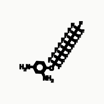 Nc1ccc(OC(F)(F)C(F)(F)C(F)(F)C(F)(F)C(F)(F)C(F)(F)C(F)(F)C(F)(F)F)c(N)c1